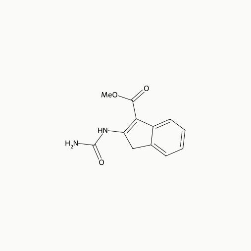 COC(=O)C1=C(NC(N)=O)Cc2ccccc21